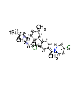 C=C(c1ccc(-c2cc(C)cc(C(/C=C\C)=C/C(=C)C(C)(C)C)c2)c(Cl)c1)N1CCC(Cl)CC1